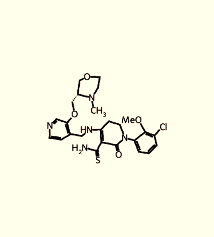 COc1c(Cl)cccc1N1CCC(NCc2ccncc2OC[C@@H]2COCCN2C)=C(C(N)=S)C1=O